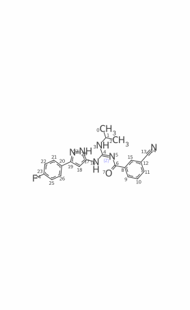 CC(C)N/C(=N/C(=O)c1cccc(C#N)c1)Nc1cc(-c2ccc(F)cc2)n[nH]1